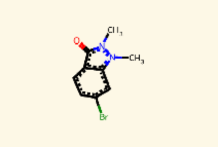 Cn1c(=O)c2ccc(Br)cc2n1C